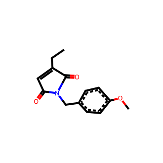 CCC1=CC(=O)N(Cc2ccc(OC)cc2)C1=O